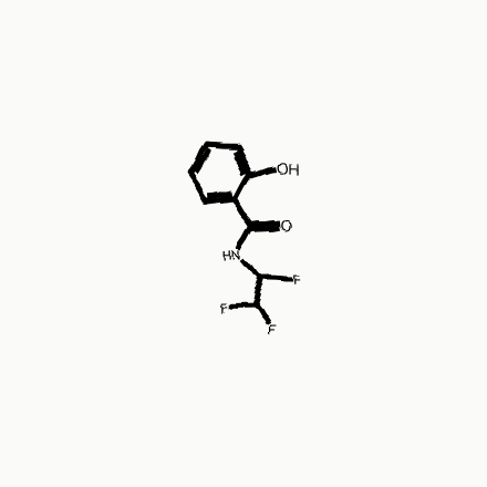 O=C(NC(F)C(F)F)c1ccccc1O